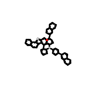 c1ccc(N(c2ccc(-c3ccc4ccccc4c3)cc2)c2ccc(-c3ccc4ccccc4c3)cc2)c(-c2cccc3oc4c5ccccc5ccc4c23)c1